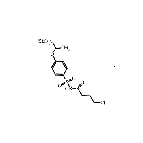 C=C(Oc1ccc(S(=O)(=O)NC(=O)CCCCl)cc1)C(=O)OCC